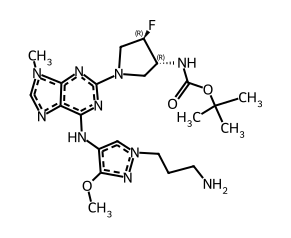 COc1nn(CCCN)cc1Nc1nc(N2C[C@@H](F)[C@H](NC(=O)OC(C)(C)C)C2)nc2c1ncn2C